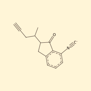 [C-]#[N+]c1cccc2c1C(=O)C(C(C)CC#C)C2